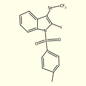 Cc1ccc(S(=O)(=O)n2c(I)c([Se]C(F)(F)F)c3ccccc32)cc1